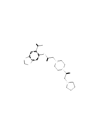 CC(=O)c1cc2c(cc1NC(=O)CN1CCN(C(=O)CN3CCCC3)CC1)OCO2